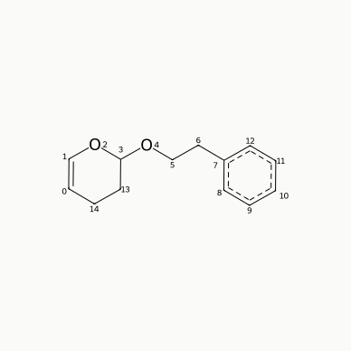 C1=COC(OCCc2ccccc2)CC1